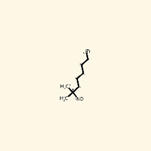 CC(C)CCCCCC(C)(C)N=O